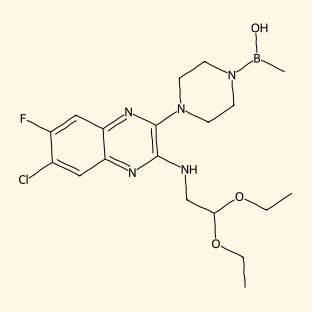 CCOC(CNc1nc2cc(Cl)c(F)cc2nc1N1CCN(B(C)O)CC1)OCC